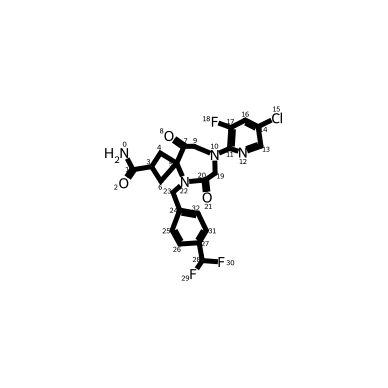 NC(=O)C1CC2(C1)C(=O)CN(c1ncc(Cl)cc1F)CC(=O)N2Cc1ccc(C(F)F)cc1